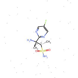 C[C@@H]([C@](C)(N)c1ncc(F)cn1)S(N)(=O)=O